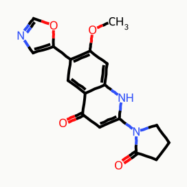 COc1cc2[nH]c(N3CCCC3=O)cc(=O)c2cc1-c1cnco1